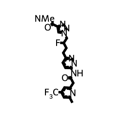 CNC(=O)c1cn(CC(F)CCc2ccc(NC(=O)Cc3cc(C(F)(F)F)cc(C)n3)nn2)nn1